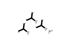 CC(C)[O-].CC(C)[O-].CC(C)[O-].[In+3]